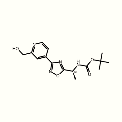 C[C@H](NC(=O)OC(C)(C)C)c1nc(-c2ccnc(CO)c2)no1